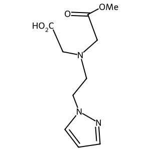 COC(=O)CN(CCn1cccn1)CC(=O)O